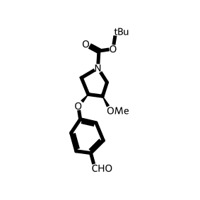 CO[C@@H]1CN(C(=O)OC(C)(C)C)C[C@@H]1Oc1ccc(C=O)cc1